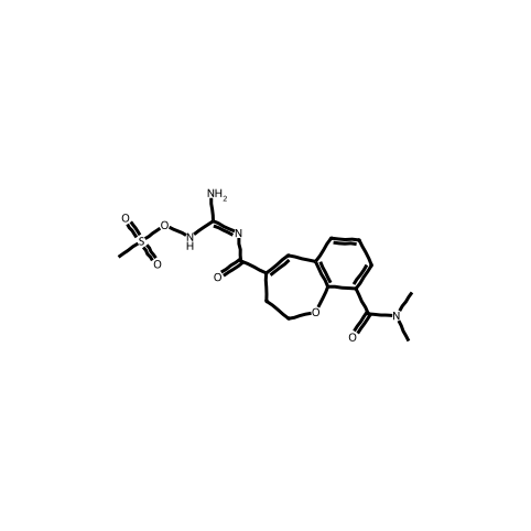 CN(C)C(=O)c1cccc2c1OCCC(C(=O)N=C(N)NOS(C)(=O)=O)=C2